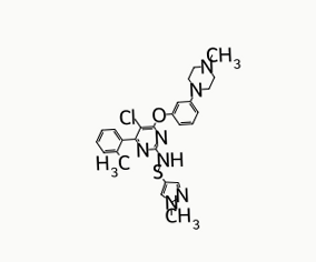 Cc1ccccc1-c1nc(NSc2cnn(C)c2)nc(Oc2cccc(N3CCN(C)CC3)c2)c1Cl